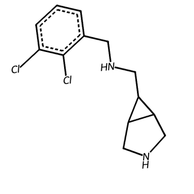 Clc1cccc(CNCC2C3CNCC23)c1Cl